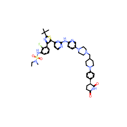 CCN(C)S(=O)(=O)Nc1cccc(-c2nc(C(C)(C)C)sc2-c2ccnc(Nc3ccc(N4CCN(CC5CCN(c6ccc([C@@H]7CCC(=O)NC7=O)cc6)CC5)CC4)cn3)n2)c1F